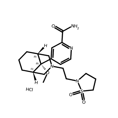 CO[C@@]1(c2ccnc(C(N)=O)c2)[C@@H]2CCC[C@H]1CN(CCN1CCCS1(=O)=O)C2.Cl